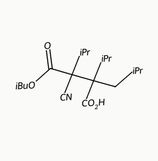 CC(C)COC(=O)C(C#N)(C(C)C)C(CC(C)C)(C(=O)O)C(C)C